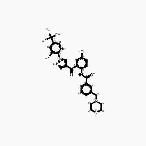 O=C(Nc1ccc(Cl)cc1C(=O)c1cnn(-c2ncc(C(F)(F)F)cc2F)c1)c1cccc(CN2CCNCC2)c1